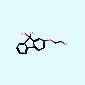 OCCOc1ccc2c(c1)C(O)(C(F)(F)F)c1ccccc1-2